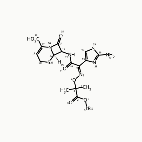 CC(C)(C)OC(=O)C(C)(C)O/N=C(\C(=O)NC1C(=O)N2C(C(=O)O)=CCS[C@H]12)c1csc(N)n1